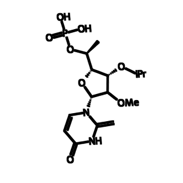 C=C1NC(=O)C=CN1[C@@H]1O[C@H]([C@H](C)OP(=O)(O)O)[C@H](OC(C)C)C1OC